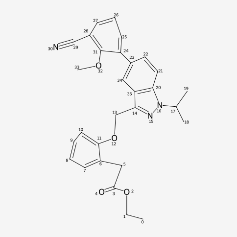 CCOC(=O)Cc1ccccc1OCc1nn(C(C)C)c2ccc(-c3cccc(C#N)c3OC)cc12